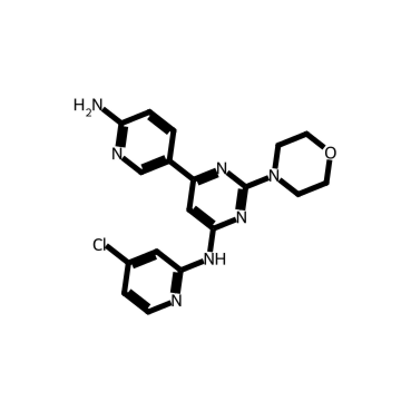 Nc1ccc(-c2cc(Nc3cc(Cl)ccn3)nc(N3CCOCC3)n2)cn1